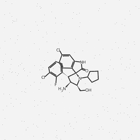 N[C@@H]1[C@H](CO)N(C2CCCC2)[C@@]2(C(=O)Nc3cc(Cl)ccc32)[C@H]1c1cccc(Cl)c1F